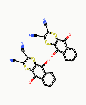 N#Cc1sc2c(=O)c3ccccc3c(=O)c=2sc1C#N.N#Cc1sc2c(=O)c3ccccc3c(=O)c=2sc1C#N